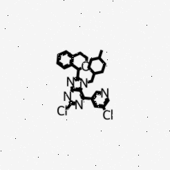 CC1CCC(Cn2c(C3OCCc4ccccc43)nc3nc(Cl)nc(-c4cncc(Cl)c4)c32)CC1